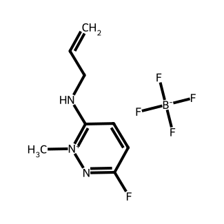 C=CCNc1ccc(F)n[n+]1C.F[B-](F)(F)F